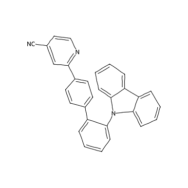 N#Cc1ccnc(-c2ccc(-c3ccccc3-n3c4ccccc4c4ccccc43)cc2)c1